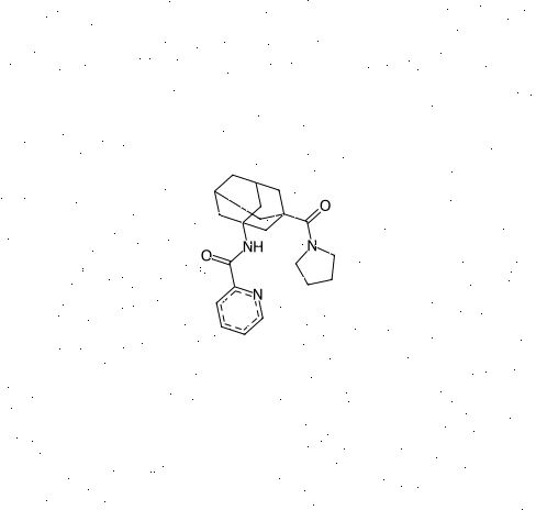 O=C(NC12CC3CC(C1)CC(C(=O)N1CCCC1)(C3)C2)c1ccccn1